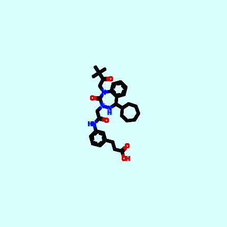 CC(C)(C)C(=O)CN1C(=O)N(CC(=O)Nc2cccc(CCC(=O)O)c2)NC(C2CCCCCC2)c2ccccc21